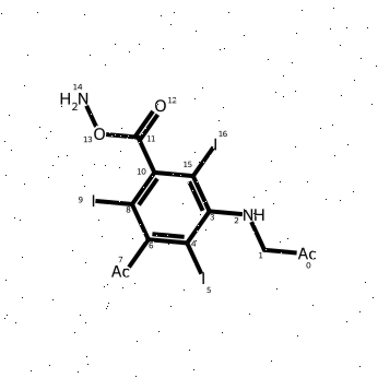 CC(=O)CNc1c(I)c(C(C)=O)c(I)c(C(=O)ON)c1I